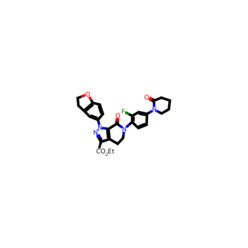 CCOC(=O)c1nn(-c2ccc3c(c2)CCO3)c2c1CCN(c1ccc(N3CCCCC3=O)cc1F)C2=O